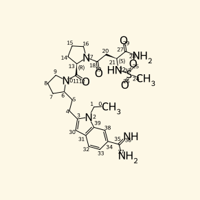 CCn1c(CCC2CCCN2C(=O)[C@H]2CCCN2C(=O)C[C@H](NS(C)(=O)=O)C(N)=O)cc2ccc(C(=N)N)cc21